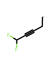 [CH2]CC#CC(F)F